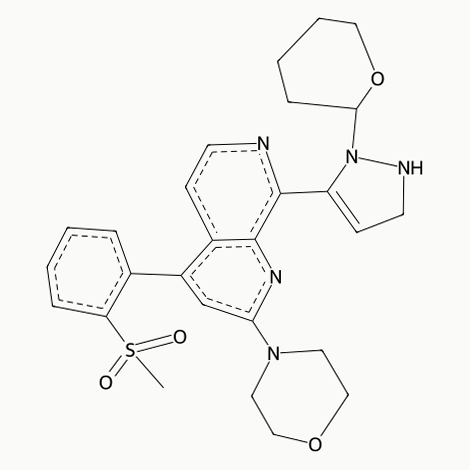 CS(=O)(=O)c1ccccc1-c1cc(N2CCOCC2)nc2c(C3=CCNN3C3CCCCO3)nccc12